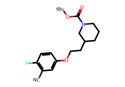 CC(C)(C)OC(=O)N1CCCC(CCOc2ccc(F)c(C#N)c2)C1